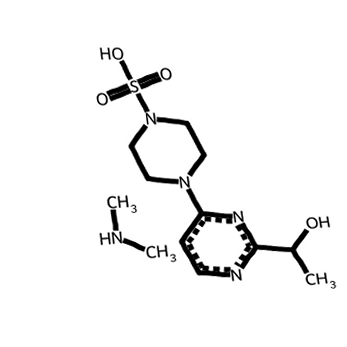 CC(O)c1nccc(N2CCN(S(=O)(=O)O)CC2)n1.CNC